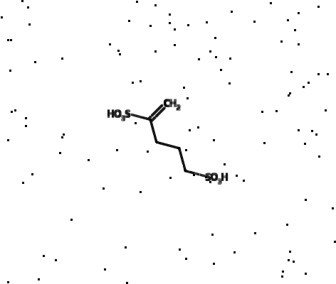 C=C(CCCS(=O)(=O)O)S(=O)(=O)O